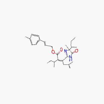 CCC(C)/C(C(=O)OCC=Cc1ccc(C)cc1)=C(\CC(C)C)C1=NC(C)(C(C)CC)C(=O)N1